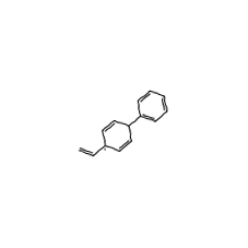 C=C[C]1C=CC(c2ccccc2)C=C1